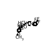 CCOc1ccc2nc(NC(=O)CN3CCN(c4cccc(C(F)(F)F)c4)CC3)sc2c1.Cl